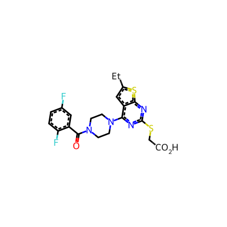 CCc1cc2c(N3CCN(C(=O)c4cc(F)ccc4F)CC3)nc(SCC(=O)O)nc2s1